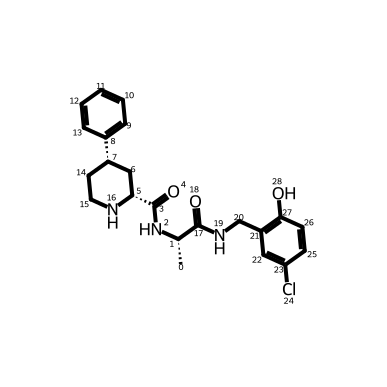 C[C@H](NC(=O)[C@H]1C[C@@H](c2ccccc2)CCN1)C(=O)NCc1cc(Cl)ccc1O